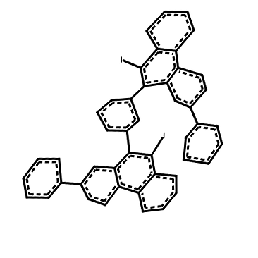 Ic1c(-c2cccc(-c3c(I)c4ccccc4c4ccc(-c5ccccc5)cc34)c2)c2cc(-c3ccccc3)ccc2c2ccccc12